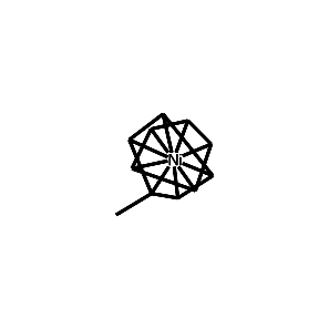 C[C]12[CH]3[CH]4[CH]5[CH]1[Ni]45321678[CH]2[CH]1[CH]6[CH]7[CH]28